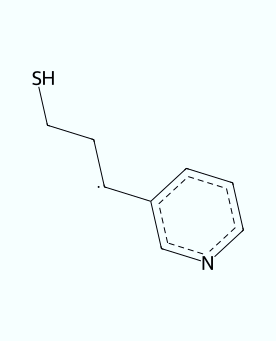 SCC[CH]c1cccnc1